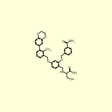 Cc1c(COc2ccc(CNC(CO)C(=O)O)c(OCc3cccc(C(N)=O)c3)c2)cccc1-c1ccc2c(c1)OCCO2